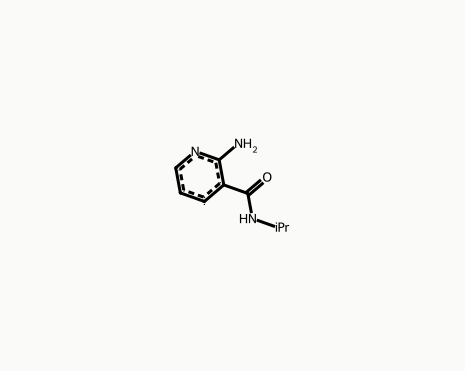 CC(C)NC(=O)c1[c]ccnc1N